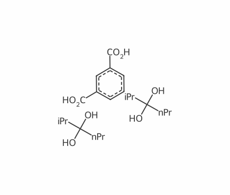 CCCC(O)(O)C(C)C.CCCC(O)(O)C(C)C.O=C(O)c1cccc(C(=O)O)c1